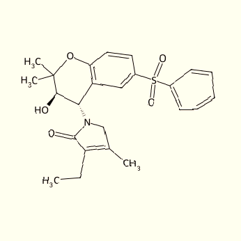 CCC1=C(C)CN([C@H]2c3cc(S(=O)(=O)c4ccccc4)ccc3OC(C)(C)[C@@H]2O)C1=O